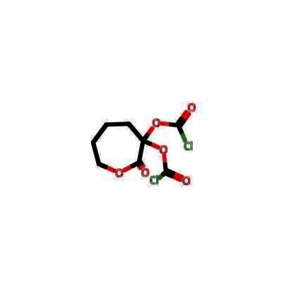 O=C(Cl)OC1(OC(=O)Cl)CCCCOC1=O